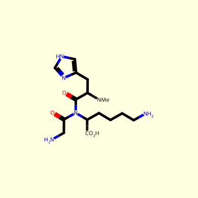 CNC(Cc1c[nH]cn1)C(=O)N(C(=O)CN)C(CCCCN)C(=O)O